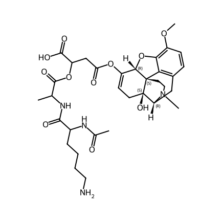 COc1ccc2c3c1O[C@H]1C(OC(=O)CC(OC(=O)C(C)NC(=O)C(CCCCN)NC(C)=O)C(=O)O)=CC[C@@]4(O)[C@@H](C2)N(C)CC[C@]314